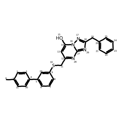 Cc1ccc(-c2cccc(SCc3cc(O)n4nc(Cc5ccccc5)nc4n3)c2)cc1